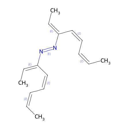 C\C=C/C=C\C(=C/C)\N=N\C(\C=C/C=C\C)=C\C